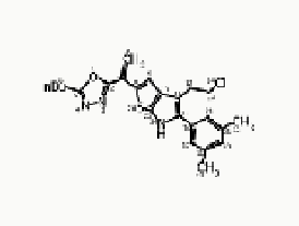 C=C(c1nnc(CCCC)o1)c1cc2c(CCCl)c(-c3cc(C)cc(C)c3)[nH]c2s1